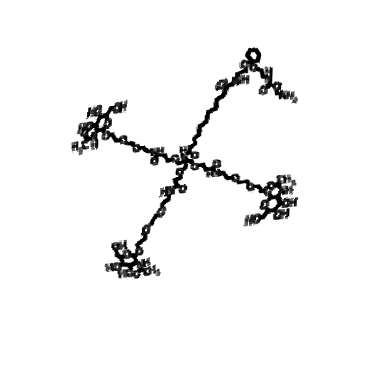 CC(=O)NC1C(OCCOCCOCCNC(=O)CCOCC(COCCC(=O)NCCOCCOCCOC2OC(CO)C(O)C(O)C2NC(C)=O)(COCCC(=O)NCCOCCOCCOC2OC(CO)C(O)C(O)C2NC(C)=O)NC(=O)CCCCCCCCCCC(=O)NCCOC2(OCCNC(=O)OCN)CCCCC2)OC(CO)C(O)C1O